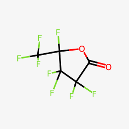 O=C1OC(F)(C(F)(F)F)C(F)(F)C1(F)F